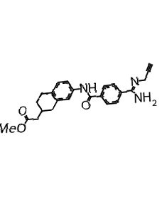 C#CCN=C(N)c1ccc(C(=O)Nc2ccc3c(c2)CC(CC(=O)OC)CC3)cc1